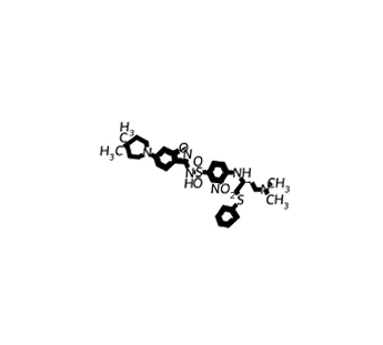 CN(C)CC[C@H](CSc1ccccc1)Nc1ccc(S(=O)(=O)Nc2noc3cc(N4CCC(C)(C)CC4)ccc23)cc1[N+](=O)[O-]